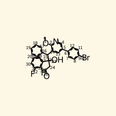 COc1ncc(-c2ccc(Br)cc2)cc1C(c1ccccc1)C(O)(CC=O)c1cccc(F)c1F